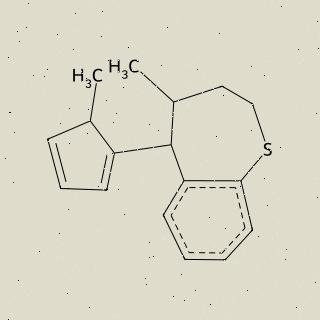 CC1C=CC=C1C1c2ccccc2SCCC1C